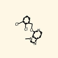 Cn1cnc2ccnc(OCc3cccc(Cl)c3Cl)c21